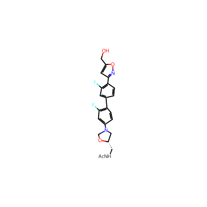 CC(=O)NC[C@H]1CN(c2ccc(-c3ccc(-c4cc(CO)on4)c(F)c3)c(F)c2)CO1